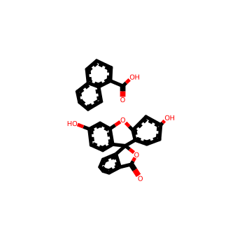 O=C(O)c1cccc2ccccc12.O=C1OC2(c3ccc(O)cc3Oc3cc(O)ccc32)c2ccccc21